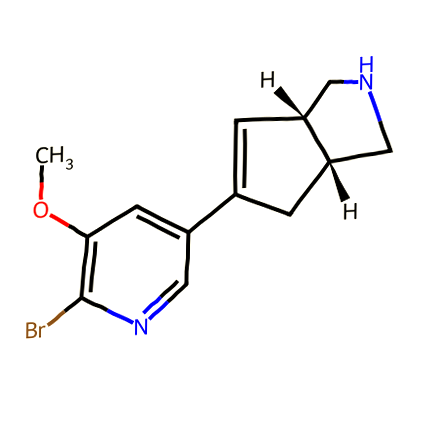 COc1cc(C2=C[C@@H]3CNC[C@@H]3C2)cnc1Br